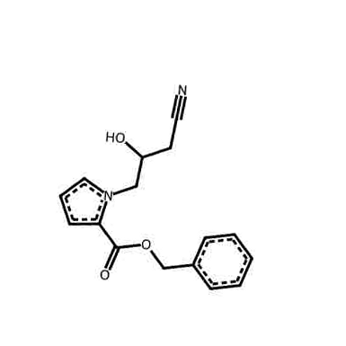 N#CCC(O)Cn1cccc1C(=O)OCc1ccccc1